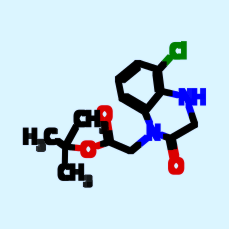 CC(C)(C)OC(=O)CN1C(=O)CNc2c(Cl)cccc21